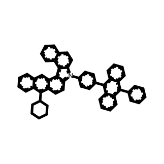 c1ccc(-c2c3ccccc3c(-c3ccc(-n4c5ccc6ccccc6c5c5c6cc7ccccc7c(C7CCCCC7)c6ccc54)cc3)c3ccccc23)cc1